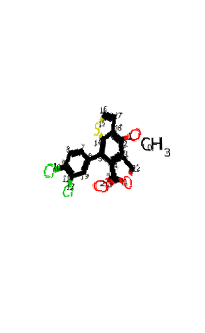 COc1c2c(c(-c3ccc(Cl)c(Cl)c3)c3sccc13)C(=O)OC2